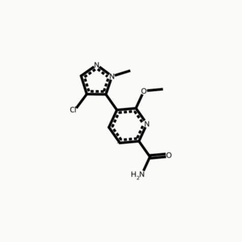 COc1nc(C(N)=O)[c]cc1-c1c(Cl)cnn1C